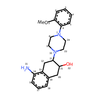 COc1ccccc1N1CCN(C2Cc3c(N)cccc3CC2O)CC1